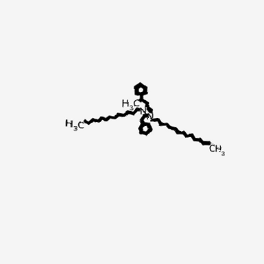 CCCCCCCCCCCCCCCn1cc(CC(C)c2ccccc2)[n+](CCCCCCCCCCCCCC)c1Cc1ccccc1